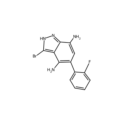 Nc1cc(-c2ccccc2F)c(N)c2c(Br)[nH]nc12